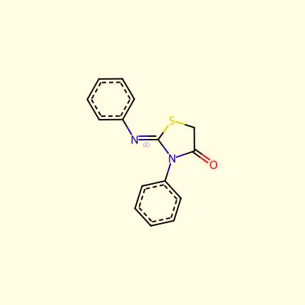 O=C1CS/C(=N\c2ccccc2)N1c1ccccc1